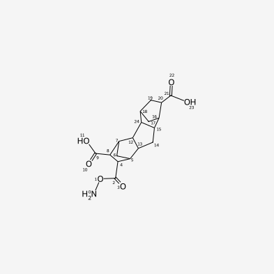 NOC(=O)C1C2CC(C1C(=O)O)C1C2CC2C3CC(CC3C(=O)O)C21